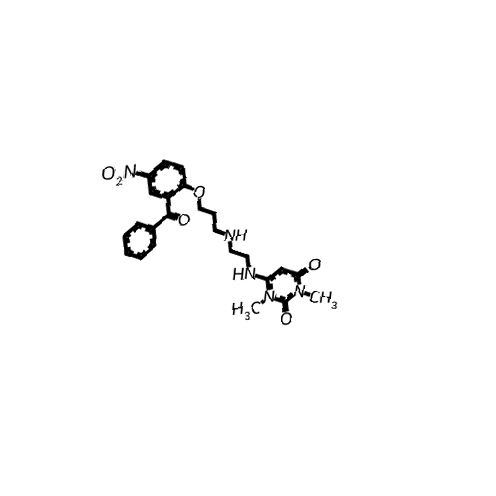 Cn1c(NCCNCCCOc2ccc([N+](=O)[O-])cc2C(=O)c2ccccc2)cc(=O)n(C)c1=O